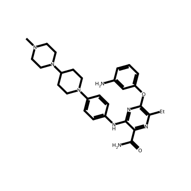 CCc1nc(C(N)=O)c(Nc2ccc(N3CCC(N4CCN(C)CC4)CC3)cc2)nc1Oc1cccc(N)c1